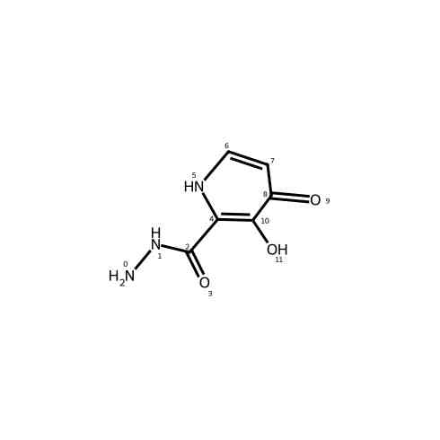 NNC(=O)c1[nH]ccc(=O)c1O